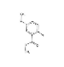 COC(=O)c1cc(OC)ccc1I